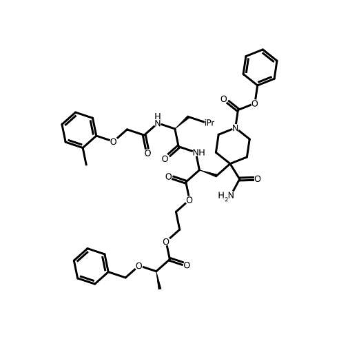 Cc1ccccc1OCC(=O)N[C@@H](CC(C)C)C(=O)N[C@@H](CC1(C(N)=O)CCN(C(=O)Oc2ccccc2)CC1)C(=O)OCCOC(=O)[C@@H](C)OCc1ccccc1